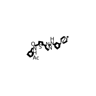 CC(=O)c1cccc(CNC(=O)c2ccc(-c3ccnc(Nc4cccc(N5CCN(C)CC5)c4)n3)s2)c1